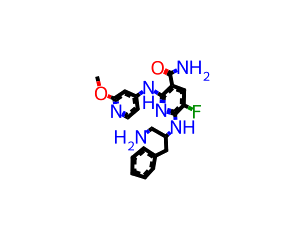 COc1cc(Nc2nc(NC(CN)Cc3ccccc3)c(F)cc2C(N)=O)ccn1